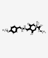 COC(=O)[N+]1(C)CC(=O)C(=CNNCc2ccc(OC)cc2)C(=O)C1